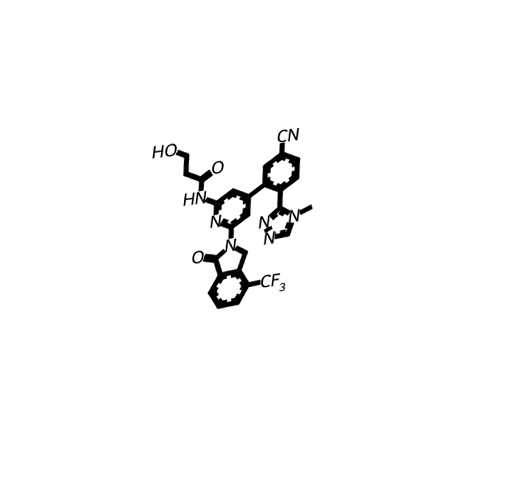 Cn1cnnc1-c1ccc(C#N)cc1-c1cc(NC(=O)CCO)nc(N2Cc3c(cccc3C(F)(F)F)C2=O)c1